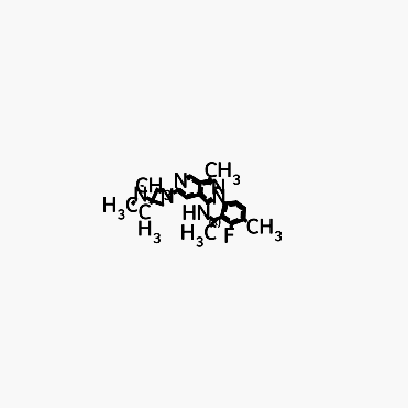 Cc1cccc([C@@H](C)Nc2nnc(C)c3cnc(N4CC(C)(N(C)C)C4)cc23)c1F